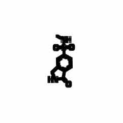 CNS(=O)(=O)c1ccc2c(c1)CNC2=O